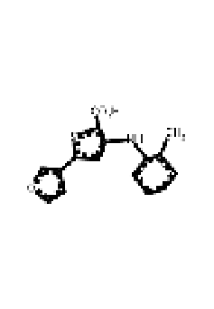 Cc1ccccc1Nc1cc(-c2ccoc2)sc1C(=O)O